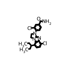 CCC(CC)c1ccc(Cl)c2nc3n(c12)CCN3c1ccc(C(N)=O)cc1Cl